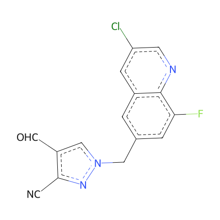 N#Cc1nn(Cc2cc(F)c3ncc(Cl)cc3c2)cc1C=O